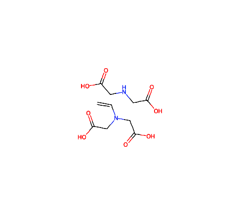 C=CN(CC(=O)O)CC(=O)O.O=C(O)CNCC(=O)O